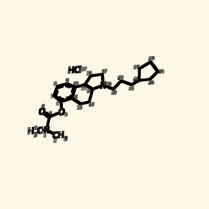 CN(C)C(=O)Oc1cccc2c1CCC1C2CCN1CCCC1CCCC1.Cl